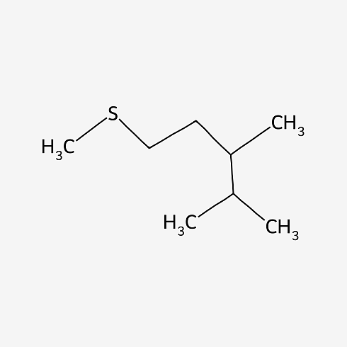 CSCCC(C)C(C)C